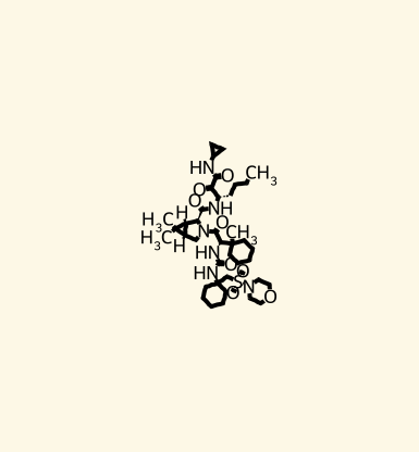 CCCC[C@H](NC(=O)[C@@H]1[C@@H]2[C@H](CN1C(=O)[C@@H](NC(=O)NC1(CS(=O)(=O)N3CCOCC3)CCCCC1)C1(C)CCCCC1)C2(C)C)C(=O)C(=O)NC1CC1